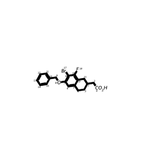 O=C(O)CC1CCc2cc(OCc3ccccc3)c(Br)c(F)c2C1